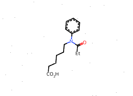 CCC(=O)N(CCCCCC(=O)O)c1ccccc1